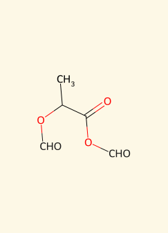 CC(OC=O)C(=O)OC=O